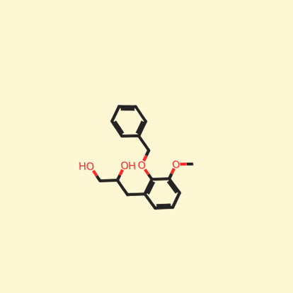 COc1cccc(CC(O)CO)c1OCc1ccccc1